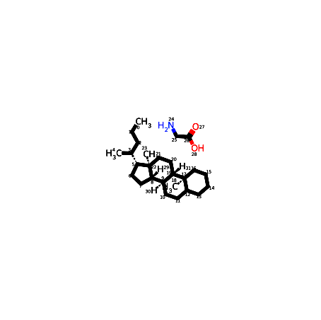 CCCC(C)[C@H]1CC[C@H]2[C@@H]3CCC4CCCC[C@]4(C)[C@H]3CC[C@]12C.NCC(=O)O